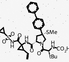 C=CC1CC1(NC(=O)[C@@H]1C[C@@](SC)(c2ccc(-c3ccccc3)cc2)CN1C(=O)[C@@H](NC(=O)O)C(C)(C)C)C(=O)NS(=O)(=O)C1CC1